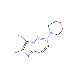 Cc1nc2ccc(N3CCOCC3)nn2c1Br